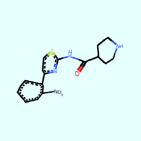 O=C(Nc1nc(-c2ccccc2[N+](=O)[O-])cs1)C1CCNCC1